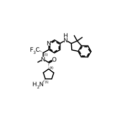 CN(C(=O)[C@@H]1CC[C@H](N)C1)[C@@H](c1ccc(NC2Cc3ccccc3C2(C)C)cn1)C(F)(F)F